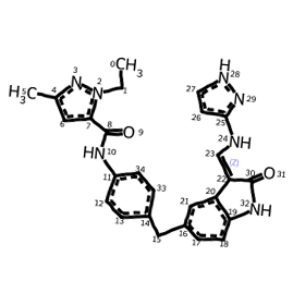 CCn1nc(C)cc1C(=O)Nc1ccc(Cc2ccc3c(c2)/C(=C/Nc2cc[nH]n2)C(=O)N3)cc1